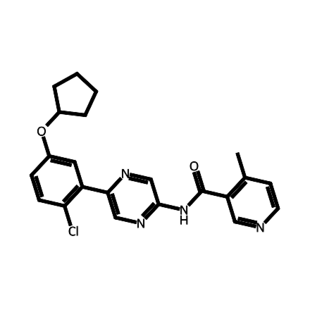 Cc1ccncc1C(=O)Nc1cnc(-c2cc(OC3CCCC3)ccc2Cl)cn1